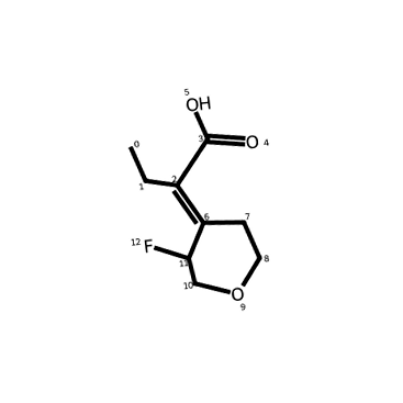 CC/C(C(=O)O)=C1/CCOCC1F